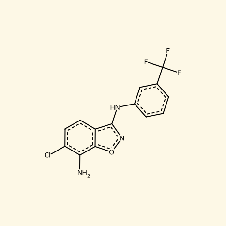 Nc1c(Cl)ccc2c(Nc3cccc(C(F)(F)F)c3)noc12